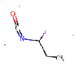 CCC(I)N=C=O